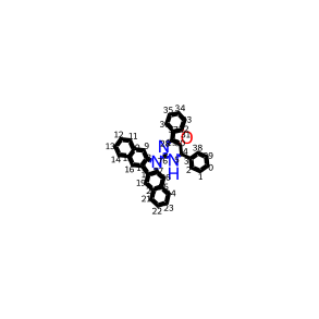 c1ccc(C2NC(n3c4cc5ccccc5cc4c4cc5ccccc5cc43)=Nc3c2oc2ccccc32)cc1